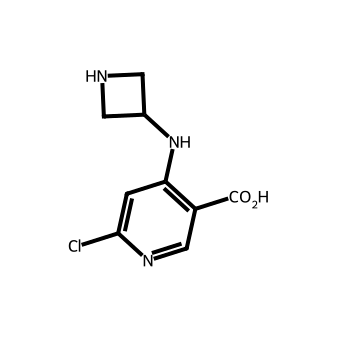 O=C(O)c1cnc(Cl)cc1NC1CNC1